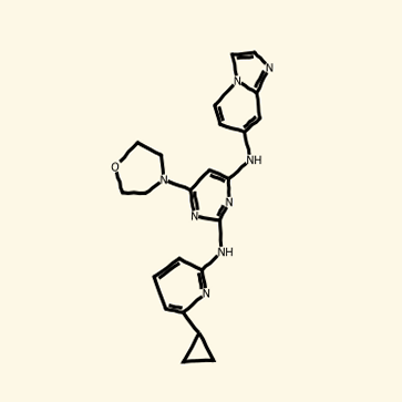 c1cc(Nc2nc(Nc3ccn4ccnc4c3)cc(N3CCOCC3)n2)nc(C2CC2)c1